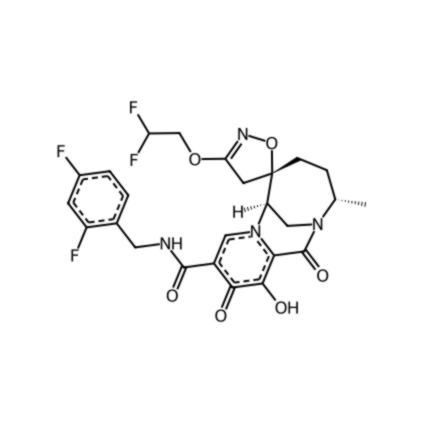 C[C@H]1CC[C@]2(CC(OCC(F)F)=NO2)[C@H]2CN1C(=O)c1c(O)c(=O)c(C(=O)NCc3ccc(F)cc3F)cn12